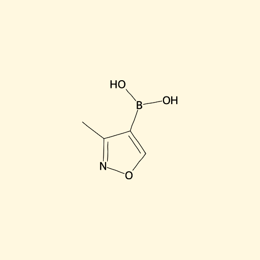 Cc1nocc1B(O)O